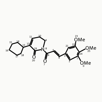 COc1cc(/C=C/C(=O)N2CCC=C(C3CCCCC3)C2=O)cc(OC)c1OC